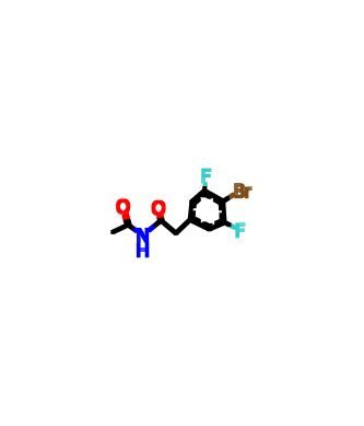 CC(=O)NC(=O)Cc1cc(F)c(Br)c(F)c1